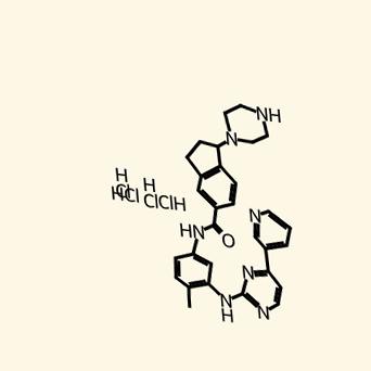 Cc1ccc(NC(=O)c2ccc3c(c2)CCC3N2CCNCC2)cc1Nc1nccc(-c2cccnc2)n1.Cl.Cl.Cl.Cl